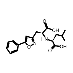 CC(C)C[C@H](N[C@@H](Cc1cc(-c2ccccc2)on1)C(=O)O)C(=O)O